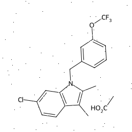 CC(=O)O.Cc1c(C)n(Cc2cccc(OC(F)(F)F)c2)c2cc(Cl)ccc12